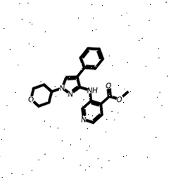 COC(=O)c1ccncc1Nc1nn(C2CCOCC2)cc1-c1ccccc1